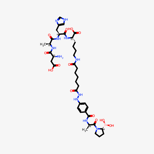 C[C@H](NC(=O)[C@@H](N)CC(=O)O)C(=O)N[C@@H](Cc1c[nH]cn1)C(=O)N[C@@H](CCCCNC(=O)CCCCCC(=O)NNc1ccc(C(=O)N[C@H](C)C(=O)N2CCC[C@H]2B(O)O)cc1)C(=O)O